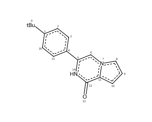 CC(C)(C)c1ccc(-c2cn3cccc3c(=O)[nH]2)cc1